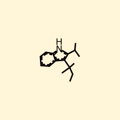 CCC(C)(C)c1c(C(C)C)[nH]c2ccccc12